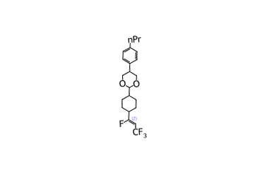 CCCc1ccc(C2COC(C3CCC(/C(F)=C/C(F)(F)F)CC3)OC2)cc1